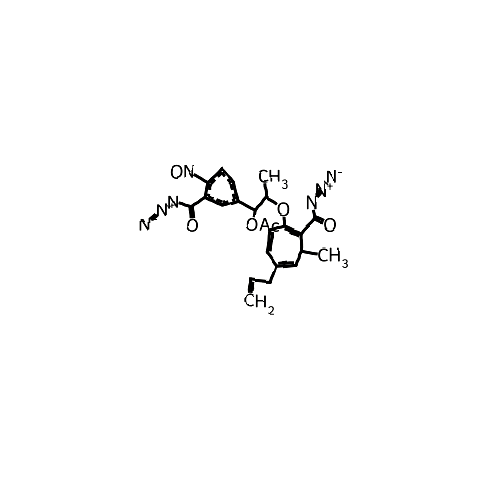 C=CCC1=CC(C)C(C(=O)N=[N+]=[N-])=C(OC(C)C(OC(C)=O)c2ccc(N=O)c(C(=O)N=[N+]=[N-])c2)C=C1